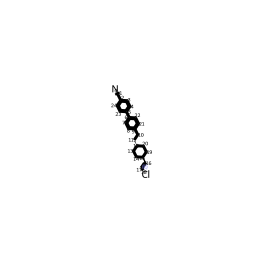 N#Cc1ccc(-c2ccc(CC[C@H]3CC[C@H](/C=C/Cl)CC3)cc2)cc1